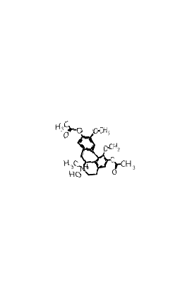 COc1cc2c(cc1OC(C)=O)C[C@H]1c3c(cc(OC(C)=O)c(OC)c3-2)CC[N+]1(C)O